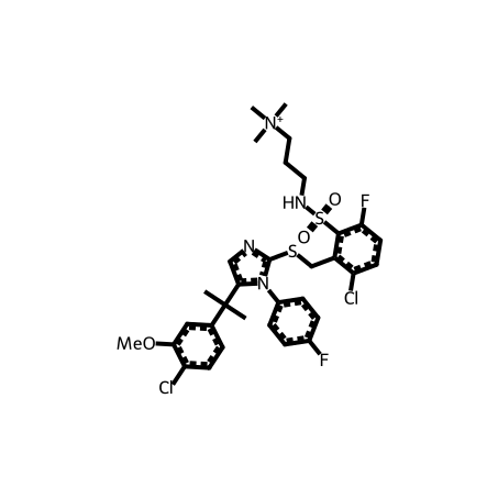 COc1cc(C(C)(C)c2cnc(SCc3c(Cl)ccc(F)c3S(=O)(=O)NCCC[N+](C)(C)C)n2-c2ccc(F)cc2)ccc1Cl